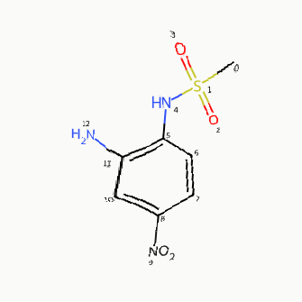 CS(=O)(=O)Nc1ccc([N+](=O)[O-])cc1N